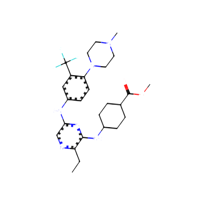 CCc1ncc(Nc2ccc(N3CCN(C)CC3)c(C(F)(F)F)c2)nc1NC1CCC(C(=O)OC)CC1